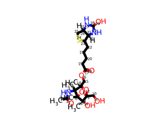 CC(=O)NC1(C)C2(C)OC(CO)(O[C@@]1(C)COC(=O)CCCCC1SC[C@@H]3NC(O)N[C@H]13)[C@@]2(C)O